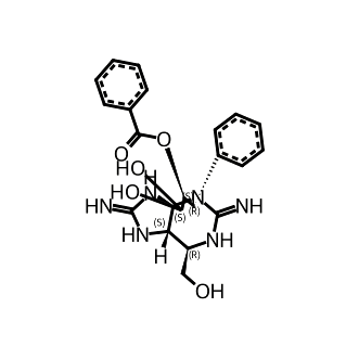 N=C1N[C@H]2[C@H](CO)NC(=N)N3[C@H](c4ccccc4)[C@H](OC(=O)c4ccccc4)C(O)(O)[C@]23N1